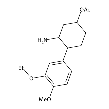 CCOc1cc(C2CCC(OC(C)=O)CC2N)ccc1OC